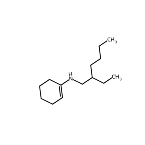 CCCCC(CC)CNC1=CCCCC1